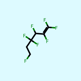 FCCC(F)(F)C(F)C(F)=C(F)F